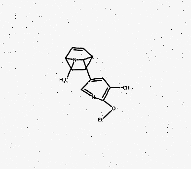 CCOc1ncc(C2C3C=CC(CC3)N2C)cc1C